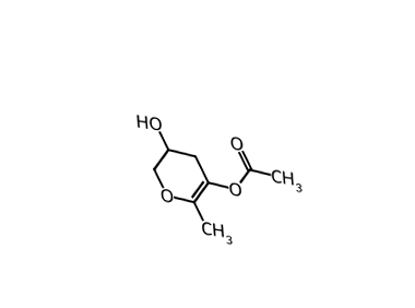 CC(=O)OC1=C(C)OCC(O)C1